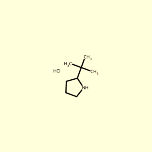 CC(C)(C)C1CCCN1.Cl